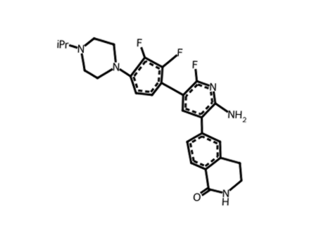 CC(C)N1CCN(c2ccc(-c3cc(-c4ccc5c(c4)CCNC5=O)c(N)nc3F)c(F)c2F)CC1